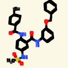 CC(C)(C)c1ccc(C(=O)Nc2ccc(NS(C)(=O)=O)cc2C(=O)Nc2cccc(OCc3ccccc3)c2)cc1